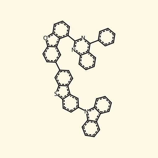 c1ccc(-c2nc(-c3cccc4oc5ccc(-c6ccc7c(c6)sc6ccc(-n8c9ccccc9c9ccccc98)cc67)cc5c34)nc3ccccc23)cc1